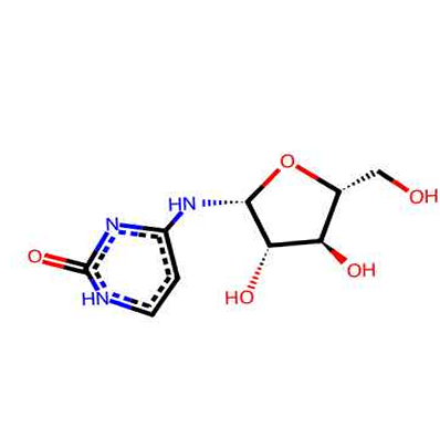 O=c1nc(N[C@@H]2O[C@H](CO)[C@@H](O)[C@@H]2O)cc[nH]1